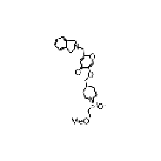 COCC[S+]([O-])N1CCC(COc2coc(CN3Cc4ccccc4C3)cc2=O)CC1